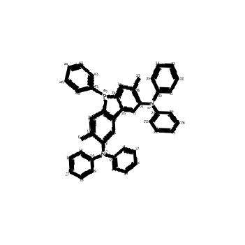 Cc1cc2c(cc1N(c1ccccc1)c1ccccc1)c1cc(N(c3ccccc3)c3ccccc3)c(C)cc1p2-c1ccccc1